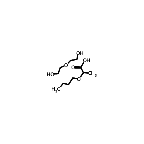 CCCCOC(C)C(=O)O.OCCOCCO